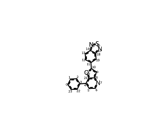 c1ccc(-c2ccnc3cc(-c4ccc5nsnc5c4)oc23)cc1